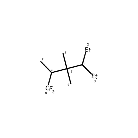 CCC(CC)C(C)(C)C(C)C(F)(F)F